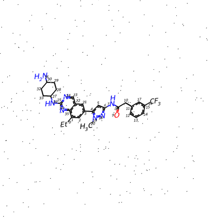 CCc1cc(-c2cc(NC(=O)Cc3cccc(C(F)(F)F)c3)nn2C)cc2cnc(NC3CCC(N)CC3)nc12